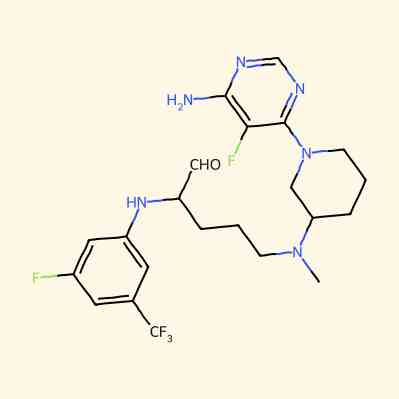 CN(CCCC(C=O)Nc1cc(F)cc(C(F)(F)F)c1)C1CCCN(c2ncnc(N)c2F)C1